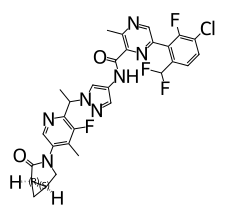 Cc1ncc(-c2c(C(F)F)ccc(Cl)c2F)nc1C(=O)Nc1cnn(C(C)c2ncc(N3C[C@H]4C[C@H]4C3=O)c(C)c2F)c1